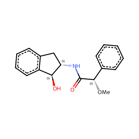 CO[C@H](C(=O)N[C@H]1Cc2ccccc2[C@@H]1O)c1ccccc1